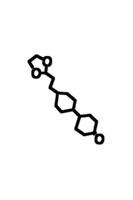 O=C1CCC(C2CCC(CCC3OCCO3)CC2)CC1